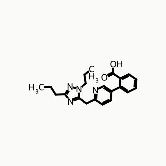 CCCc1nc(Cc2ccc(-c3ccccc3C(=O)O)cn2)n(CCC)n1